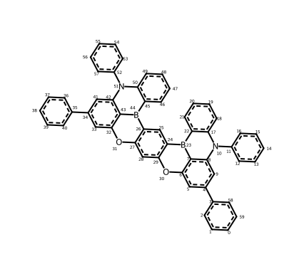 c1ccc(-c2cc3c4c(c2)N(c2ccccc2)c2ccccc2B4c2cc4c(cc2O3)Oc2cc(-c3ccccc3)cc3c2B4c2ccccc2N3c2ccccc2)cc1